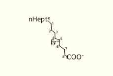 CCCCCCCCCCCCCCCC(=O)[O-].[Fr+]